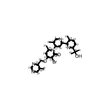 Cc1cnc(-c2nc(C(C)(C)O)ccc2C)cc1-n1c(C)cc(OCc2ncncc2F)c(Br)c1=O